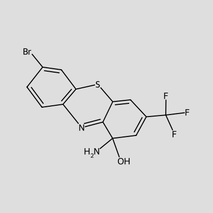 NC1(O)C=C(C(F)(F)F)C=C2Sc3cc(Br)ccc3N=C21